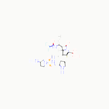 C[C@@H](NC(=O)C(F)F)[C@H]1C(=O)N2C(C(=O)O)=C(S[C@@H]3CN[C@H](CNS(=O)(=O)N4CCC(N)C4)C3)[C@H](C)[C@H]12